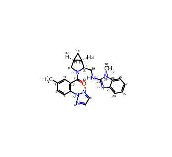 Cc1ccc(-n2nccn2)c(C(=O)N2C[C@H]3C[C@H]3[C@H]2CNc2nc3ccccc3n2C)c1